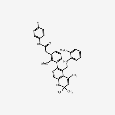 COc1ccccc1NCc1c(-c2cccc(OC(=O)Nc3ccc(Cl)cc3)c2OC)ccc2c1C(C)=CC(C)(C)N2